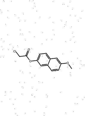 COc1ccc2cc(OC(=O)CCl)ccc2c1